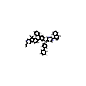 C=CC/C=C\C1=C(C)c2ccc(-c3cc(N(C(=C)/C=C\C(=C/C)c4cccc5c4C=CCC5)c4ccc(-c5ccccc5)cc4)ccc3-c3ccccc3)cc2C1(C)C